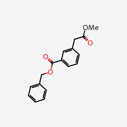 COC(=O)Cc1cccc(C(=O)OCc2ccccc2)c1